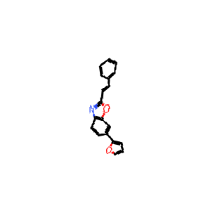 C(=Cc1nc2ccc(-c3ccco3)cc2o1)c1ccccc1